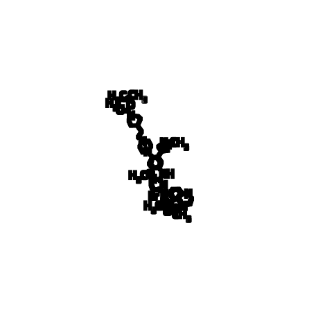 COc1cc(N2CCN(CCC3CCN(C(=O)OC(C)(C)C)CC3)CC2)c(-c2cnn(C)c2)cc1Nc1ncc(Br)c(Nc2ccc3nccnc3c2P(=O)(OC)OC)n1